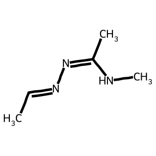 C/C=N/N=C(/C)NC